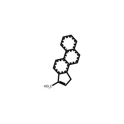 O=C(O)C1=CCc2c1ccc1c2ccc2ccccc21